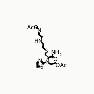 CC(=O)OCCN(c1nccs1)[C@@H](CSCCNCC=NOC(C)=O)C(N)=O